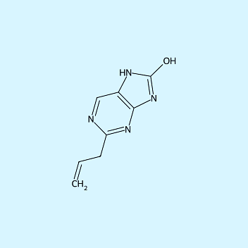 C=CCc1ncc2[nH]c(O)nc2n1